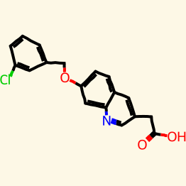 O=C(O)Cc1cnc2cc(OCc3cccc(Cl)c3)ccc2c1